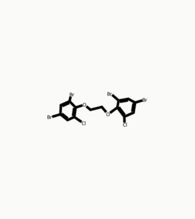 Clc1cc(Br)cc(Br)c1OCCOc1c(Cl)cc(Br)cc1Br